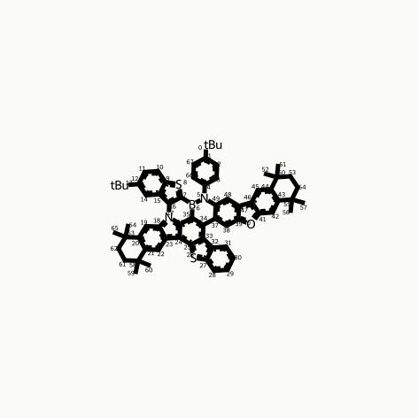 CC(C)(C)c1ccc(N2B3c4sc5ccc(C(C)(C)C)cc5c4-n4c5cc6c(cc5c5c7sc8ccccc8c7c(c3c54)-c3cc4oc5cc7c(cc5c4cc32)C(C)(C)CCC7(C)C)C(C)(C)CCC6(C)C)cc1